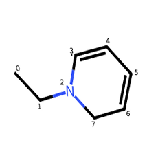 CCN1[C]=CC=CC1